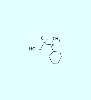 C[C@H](C1CCCCC1)[C@@H](C)CO